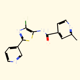 Cc1cc(C(=O)Nc2sc(-c3cccnc3)nc2Cl)ccn1